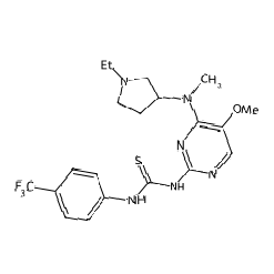 CCN1CCC(N(C)c2nc(NC(=S)Nc3ccc(C(F)(F)F)cc3)ncc2OC)C1